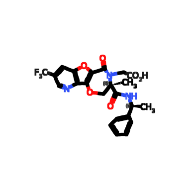 C[C@H](NC(=O)[C@@]1(C)COc2c(oc3cc(C(F)(F)F)cnc23)C(=O)N1CC(=O)O)c1ccccc1